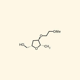 COCCO[C@@H]1C[C@@H](CO)O[C@H]1C